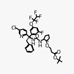 CC(C)(C)OC(=O)CCO[C@@H]1CCCC1NC(=O)N[C@@](Cc1ccccc1)(c1cc(F)cc(OC(F)(F)C(F)F)c1)c1ccc(Cl)cn1